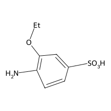 CCOc1cc(S(=O)(=O)O)ccc1N